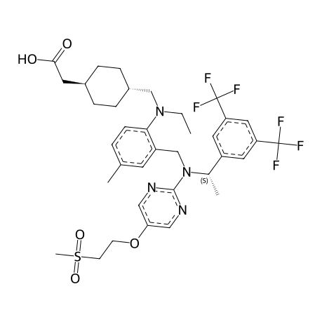 CCN(C[C@H]1CC[C@H](CC(=O)O)CC1)c1ccc(C)cc1CN(c1ncc(OCCS(C)(=O)=O)cn1)[C@@H](C)c1cc(C(F)(F)F)cc(C(F)(F)F)c1